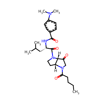 CCCCC(=O)N1CC(=O)[C@@H]2[C@H]1CCN2C(=O)[C@H](CC(C)C)NC(=O)c1ccc(N(C)C)cc1